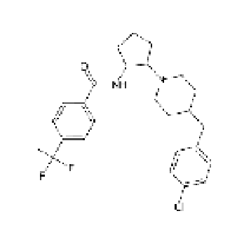 O=C(NC1CCCC1N1CCC(Cc2ccc(Cl)cc2)CC1)c1ccc(C(F)(F)F)cc1